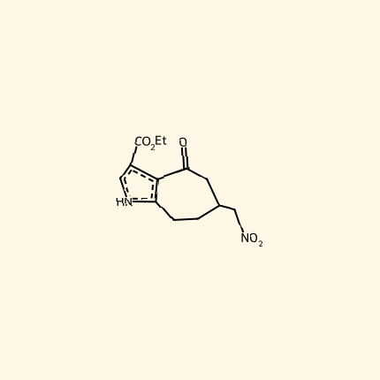 CCOC(=O)c1c[nH]c2c1C(=O)CC(C[N+](=O)[O-])CC2